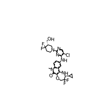 Cn1c(=O)c2c(c3cc(Nc4nc(N5CCC(F)(F)[C@H](CO)C5)ncc4Cl)ccc31)N[C@@H](C1CC1)C(F)(F)CO2